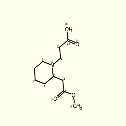 COC(=O)CC1CCCCN1CCC(=O)O